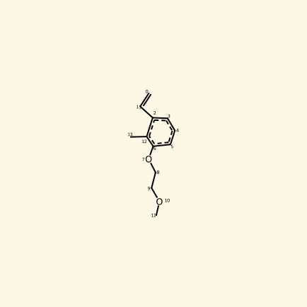 C=[C]c1cccc(OCCOC)c1C